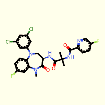 CN1C(=O)[C@H](NC(=O)C(C)(C)NC(=O)c2ccc(F)cn2)CN(c2cc(Cl)cc(Cl)c2)c2ccc(F)cc21